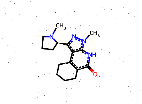 CN1CCC[C@@H]1c1nn(C)c2[nH]c(=O)c3c(c12)CCCC3